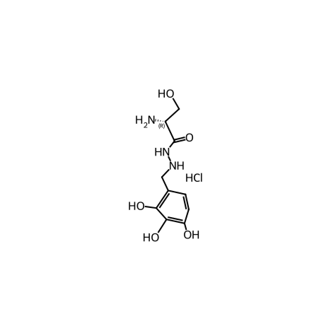 Cl.N[C@H](CO)C(=O)NNCc1ccc(O)c(O)c1O